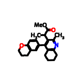 COC(=O)C(C)c1c(C)nc2c(c1-c1ccc3c(c1)CCCO3)CCCC2